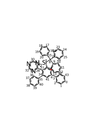 c1ccc(-c2cc([SiH2]C(c3ccccc3)(c3ccccc3)c3ccccc3)c(-c3ncncn3)c(-c3ccccc3)c2)cc1